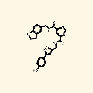 O=C(NCc1ccc2c(c1)CCO2)c1cc(C(=O)NCc2cc(-c3ccc(O)cc3)no2)ncn1